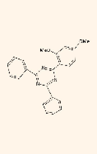 COc1ccc(-c2nc(-c3ccccc3)nc(-c3ccccc3)n2)c(OC)c1